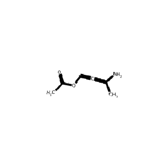 CC(=O)OC=C=C(C)N